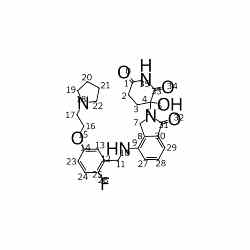 O=C1CCC(O)(N2Cc3c(NCc4cc(OCCN5CCCC5)ccc4F)cccc3C2=O)C(=O)N1